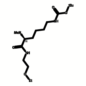 CCOCCNC(=O)[C@H](CCCCNC(=O)OC(C)(C)C)NC